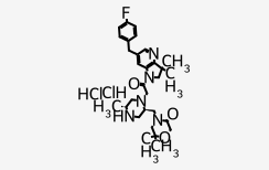 C[C@@H]1CN(CC(=O)N2CC(C)(C)c3ncc(Cc4ccc(F)cc4)cc32)[C@@H](CN2CC(C)(C)OCC2=O)CN1.Cl.Cl